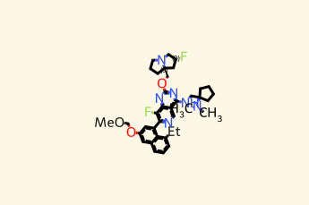 CCc1cccc2cc(OCOC)cc(-c3ncc4c(NCC5(N(C)C)CCCC5)nc(OC[C@@]56CCCN5C[C@H](F)C6)nc4c3F)c12